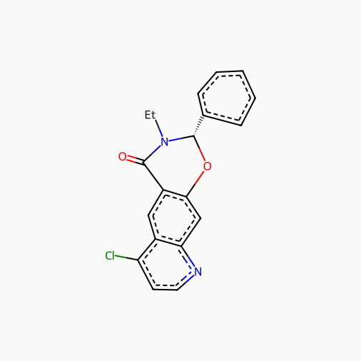 CCN1C(=O)c2cc3c(Cl)ccnc3cc2O[C@H]1c1ccccc1